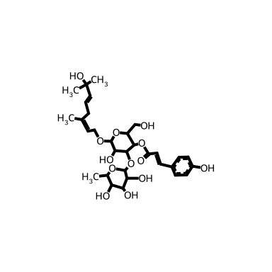 CC(=CCOC1OC(CO)C(OC(=O)C=Cc2ccc(O)cc2)C(OC2OC(C)C(O)C(O)C2O)C1O)CC=CC(C)(C)O